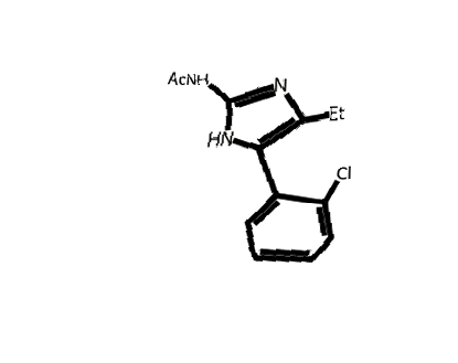 CCc1nc(NC(C)=O)[nH]c1-c1ccccc1Cl